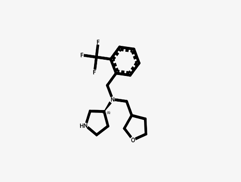 FC(F)(F)c1ccccc1CN(CC1CCOC1)[C@H]1CCNC1